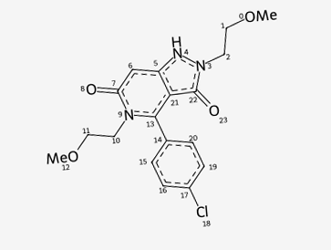 COCCn1[nH]c2cc(=O)n(CCOC)c(-c3ccc(Cl)cc3)c2c1=O